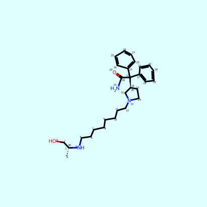 C[C@H](CO)NCCCCCCCCN1CC[C@H](C(C(N)=O)(c2ccccc2)c2ccccc2)C1